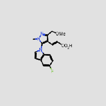 COCc1nn(C)c(-n2ccc3cc(F)ccc32)c1C=CC(=O)O